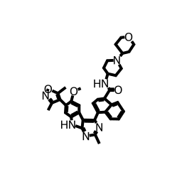 COc1cc2c(cc1-c1c(C)noc1C)[nH]c1nc(C)nc(-c3ccc(C(=O)NC4CCN(C5CCOCC5)CC4)c4ccccc34)c12